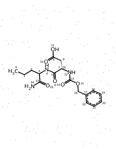 CCCC(NC(=O)[C@H](CC(=O)O)NC(=O)OCc1ccccc1)C(N)=O